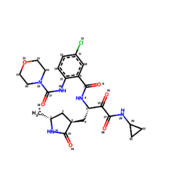 C[C@@H]1C[C@@H](C[C@H](NC(=O)c2cc(Cl)ccc2NC(=O)N2CCOCC2)C(=O)C(=O)NC2CC2)C(=O)N1